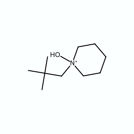 CC(C)(C)C[N+]1(O)CCCCC1